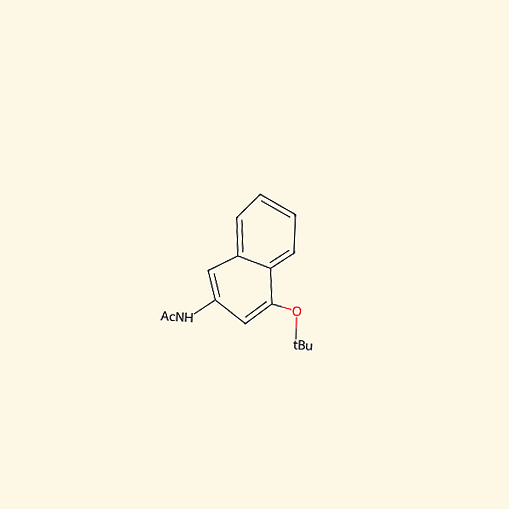 [CH2]C(=O)Nc1cc(OC(C)(C)C)c2ccccc2c1